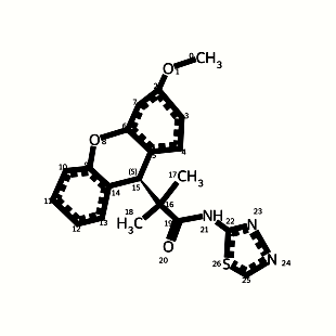 COc1ccc2c(c1)Oc1ccccc1[C@@H]2C(C)(C)C(=O)Nc1nncs1